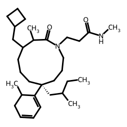 CCC(C)C[C@]1(C2=CC=CCC2C)CCCC(CC2CCC2)C(C)C(=O)N(CCC(=O)NC)CCC1